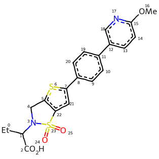 CCC(C(=O)O)N1Cc2sc(-c3ccc(-c4ccc(OC)nc4)cc3)cc2S1(=O)=O